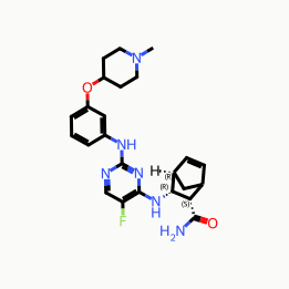 CN1CCC(Oc2cccc(Nc3ncc(F)c(N[C@@H]4[C@H]5C=CC(C5)[C@@H]4C(N)=O)n3)c2)CC1